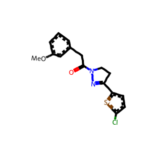 COc1cccc(CC(=O)N2CCC(c3ccc(Cl)s3)=N2)c1